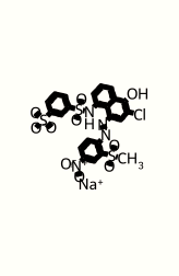 CS(=O)(=O)c1cc([N+](=O)[O-])ccc1/N=N/c1cc(Cl)c(O)c2cccc(NS(=O)(=O)c3cccc(S(=O)(=O)[O-])c3)c12.[Na+]